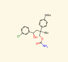 CNc1ccc(C(COC(N)=O)(C[C@@H](O)c2cccc(Cl)c2)C(C)(C)C)cc1